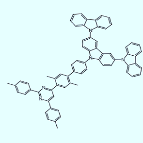 Cc1ccc(-c2cc(-c3cc(C)c(-c4ccc(-n5c6ccc(-n7c8ccccc8c8ccccc87)cc6c6cc(-n7c8ccccc8c8ccccc87)ccc65)cc4)cc3C)nc(-c3ccc(C)cc3)n2)cc1